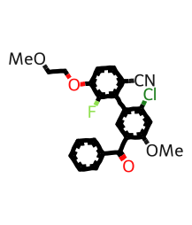 COCCOc1ccc(C#N)c(-c2cc(C(=O)c3ccccc3)c(OC)cc2Cl)c1F